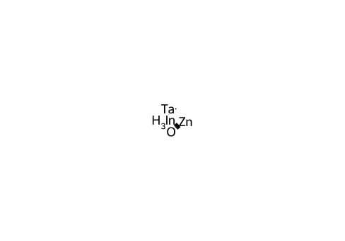 [InH3].[O]=[Zn].[Ta]